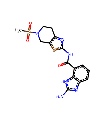 CS(=O)(=O)N1CCc2nc(NC(=O)c3cccc4nc(N)[nH]c34)sc2C1